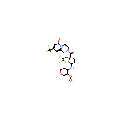 COC1COCCC1N[C@@H]1CC[C@](CC(F)(F)F)(C(=O)N2CCn3c(cc(C(F)(F)F)cc3=O)C2)C1